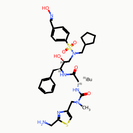 CC[C@H](C)[C@H](NC(=O)N(C)Cc1csc(CN)n1)C(=O)N[C@@H](Cc1ccccc1)[C@@H](O)CN(CC1CCCC1)S(=O)(=O)c1ccc(C=NO)cc1